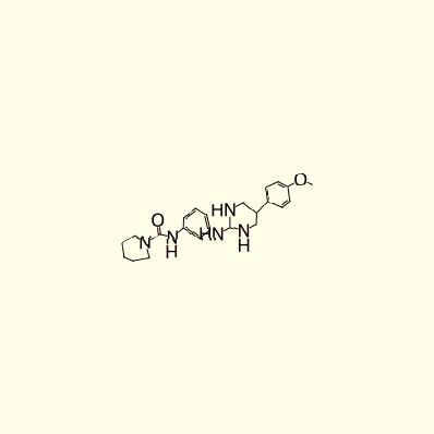 COc1ccc(C2CNC(Nc3cccc(NC(=O)N4CCCCC4)c3)NC2)cc1